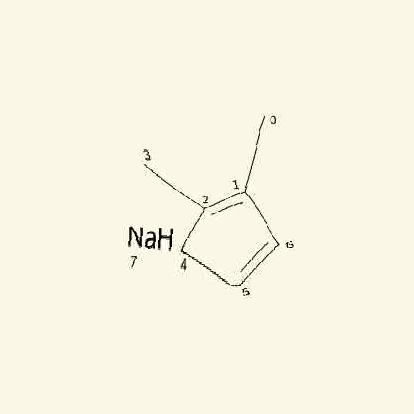 CC1=C(C)CC=C1.[NaH]